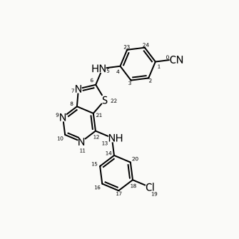 N#Cc1ccc(Nc2nc3ncnc(Nc4cccc(Cl)c4)c3s2)cc1